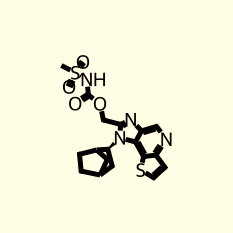 CS(=O)(=O)NC(=O)OCc1nc2cnc3ccsc3c2n1[C@H]1CC2CCC1C2